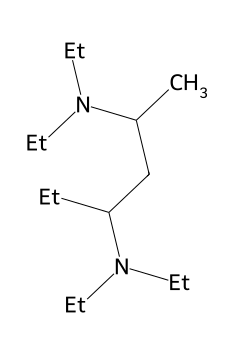 CCC(CC(C)N(CC)CC)N(CC)CC